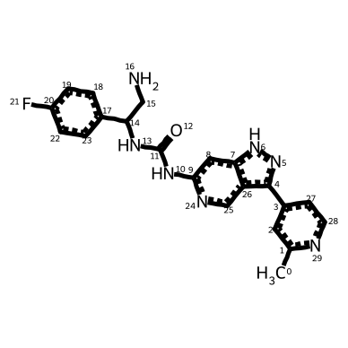 Cc1cc(-c2n[nH]c3cc(NC(=O)NC(CN)c4ccc(F)cc4)ncc23)ccn1